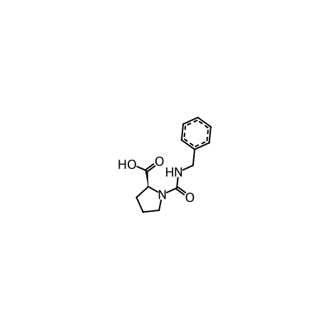 O=C(O)[C@@H]1CCCN1C(=O)NCc1ccccc1